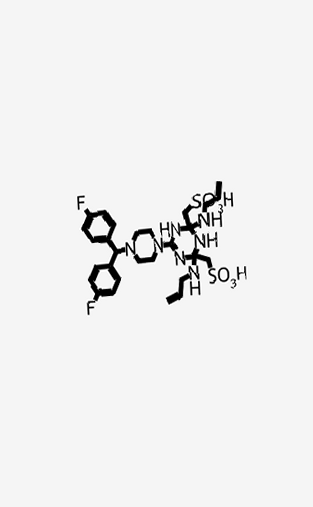 C=CCNC1(CS(=O)(=O)O)N=C(N2CCN(C(c3ccc(F)cc3)c3ccc(F)cc3)CC2)NC(CS(=O)(=O)O)(NCC=C)N1